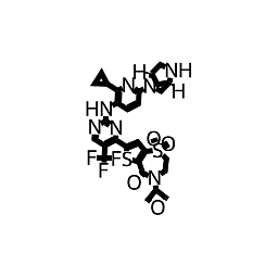 O=C1c2sc(-c3nc(Nc4ccc(N5C[C@H]6C[C@@H]5CN6)nc4C4CC4)ncc3C(F)(F)F)cc2S(=O)(=O)CCN1C1COC1